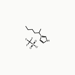 CCCCC(C)[n+]1cc[nH]c1.O=S(=O)([O-])C(F)(F)F